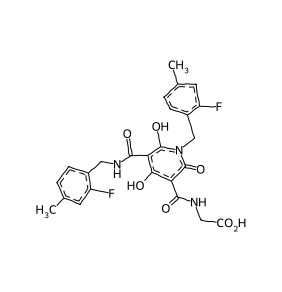 Cc1ccc(CNC(=O)c2c(O)c(C(=O)NCC(=O)O)c(=O)n(Cc3ccc(C)cc3F)c2O)c(F)c1